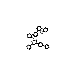 C1=CC2OC3=C(C4C=Cc5c(c6c(n5-c5nc(C7=CCCC=C7)cc(-c7ccc(-c8ccccc8)cc7)n5)C=CCC6)C4)C=CCC3C2C=C1